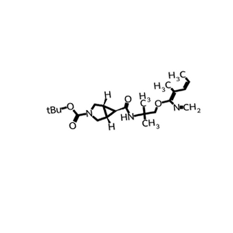 C=N/C(OCC(C)(C)NC(=O)[C@H]1[C@@H]2CN(C(=O)OC(C)(C)C)C[C@@H]21)=C(C)\C=C/C